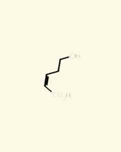 O=C(O)/C=C\CCO